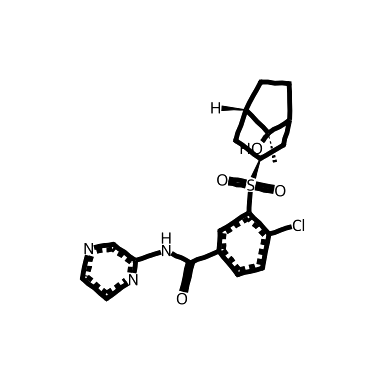 C[C@@]1(O)C2CC[C@H]1C[C@H](S(=O)(=O)c1cc(C(=O)Nc3cnccn3)ccc1Cl)C2